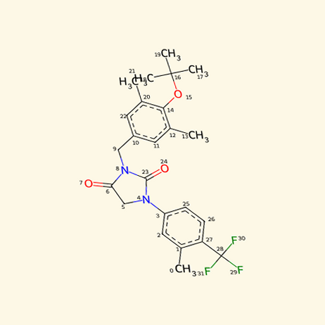 Cc1cc(N2CC(=O)N(Cc3cc(C)c(OC(C)(C)C)c(C)c3)C2=O)ccc1C(F)(F)F